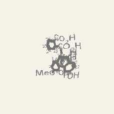 COc1ccc2c3c1O[C@H]1[C@@H](O)C=C[C@H]4[C@@H](C2)N(C)CC[C@@]341.O=C(O)c1ccccc1C(=O)O